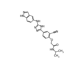 CC(C)NC(=O)COc1ccc(-c2nnc(Nc3ccc4[nH]ncc4c3)[nH]2)cc1C#N